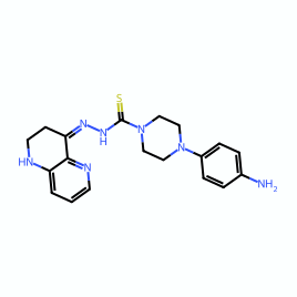 Nc1ccc(N2CCN(C(=S)N/N=C3/CCNc4cccnc43)CC2)cc1